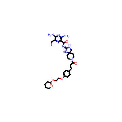 Nc1nc(N)c(C(=O)/N=C2\NCC3(CCN(C(=O)CCc4ccc(OCCOC5CCCCO5)cc4)CC3)N2)nc1CI